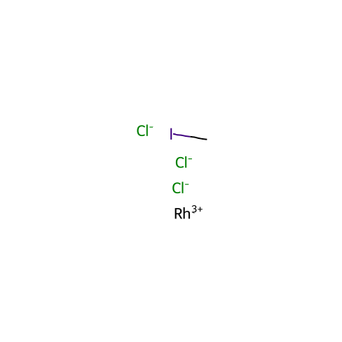 CI.[Cl-].[Cl-].[Cl-].[Rh+3]